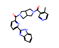 Cc1ccncc1C(=O)N1CC2CN(C(=O)c3cccc(-c4nc5ccccc5[nH]4)n3)CC2C1